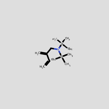 C=CC(=C)CN([Si](C)(C)C(C)(C)C)[Si](C)(C)C(C)(C)C